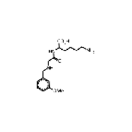 COc1cccc(CNCC(=O)NC(CCCCN)C(=O)O)c1